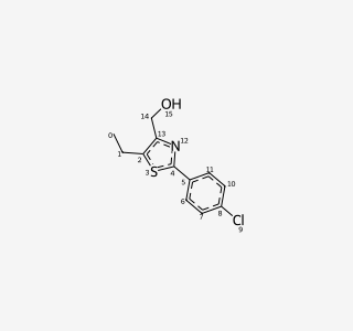 CCc1sc(-c2ccc(Cl)cc2)nc1CO